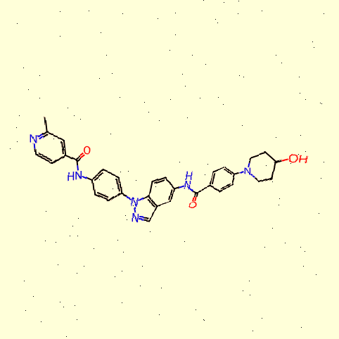 Cc1cc(C(=O)Nc2ccc(-n3ncc4cc(NC(=O)c5ccc(N6CCC(O)CC6)cc5)ccc43)cc2)ccn1